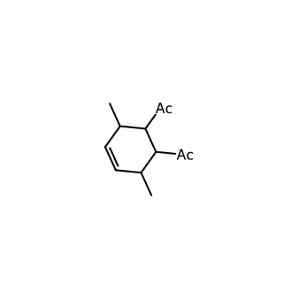 CC(=O)C1C(C)C=CC(C)C1C(C)=O